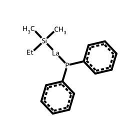 CC[Si](C)(C)[La][P](c1ccccc1)c1ccccc1